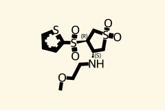 COCCN[C@H]1CS(=O)(=O)C[C@@H]1S(=O)(=O)c1cccs1